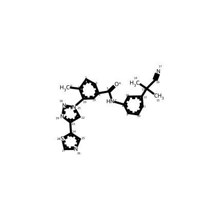 Cc1ccc(C(=O)Nc2cccc(C(C)(C)C#N)c2)cc1-n1cc(-c2cncs2)nn1